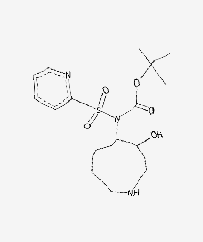 CC(C)(C)OC(=O)N(C1CCCNCC1O)S(=O)(=O)c1ccccn1